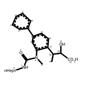 CCCCCCCNC(=O)N(C)c1cc(-c2ccccc2)ccc1C(C)C(O)C(=O)O